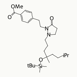 COC(=O)c1ccc(CCN2C(=O)CCN2CCCC(C)(CCC(C)C)O[Si](C)(C)C(C)(C)C)cc1